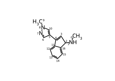 CNC1C=C(c2cnn(C)c2)c2ccccc21